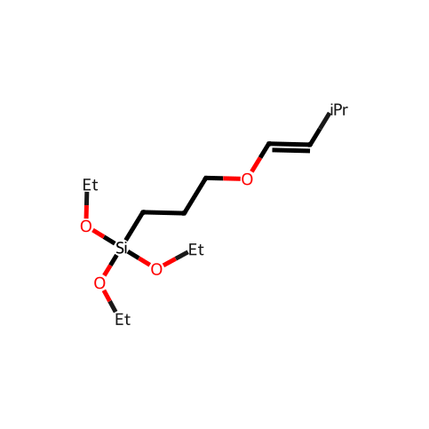 CCO[Si](CCCOC=CC(C)C)(OCC)OCC